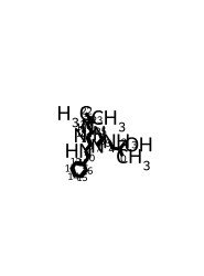 CC(CO)CNc1nc(NCc2ccccc2)c2ncn(C(C)C)c2n1